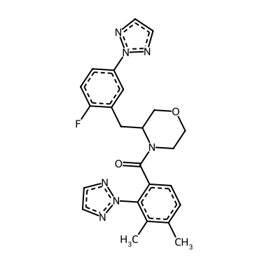 Cc1ccc(C(=O)N2CCOCC2Cc2cc(-n3nccn3)ccc2F)c(-n2nccn2)c1C